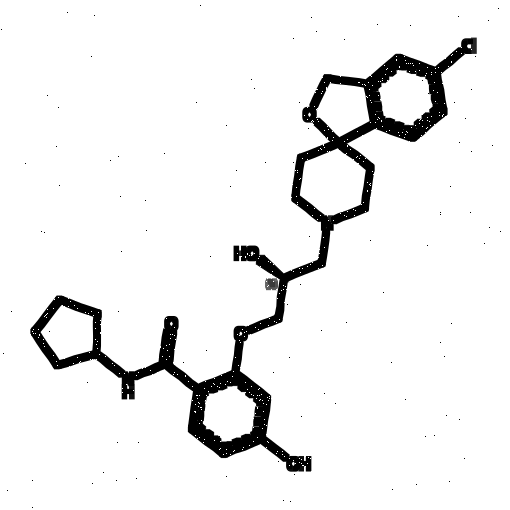 O=C(NC1CCCC1)c1ccc(O)cc1OC[C@@H](O)CN1CCC2(CC1)OCc1cc(Cl)ccc12